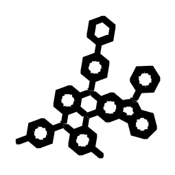 Cc1ccc(N2c3ccc(C)cc3B3c4cc5c6ccccc6n(-c6ccccc6)c5cc4N(c4ccc(C5=CCCC=C5)cc4)c4cccc2c43)cc1